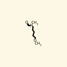 COCCCCCN(C)C=O